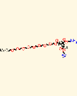 CCC(C)(CC(C)(CC(C)(C)C(=O)OCCOCCOCCOCCOCCOCCOCCOCCOCCOC)C(=O)OCCN)C(=O)OCC[N+](C)(C)C